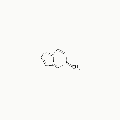 C=c1ccc2c(c1)C=CC=2